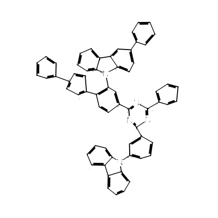 c1ccc(-c2ccc(-c3ccc(-c4nc(-c5ccccc5)nc(-c5cccc(-n6c7ccccc7c7ccccc76)c5)n4)cc3-n3c4ccccc4c4cc(-c5ccccc5)ccc43)cc2)cc1